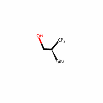 CCCC[C@@H](CO)C(F)(F)F